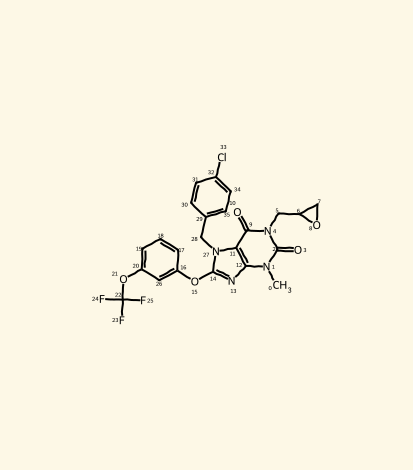 Cn1c(=O)n(CC2CO2)c(=O)c2c1nc(Oc1cccc(OC(F)(F)F)c1)n2Cc1ccc(Cl)cc1